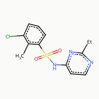 CCc1nccc(NS(=O)(=O)c2cccc(Cl)c2C)n1